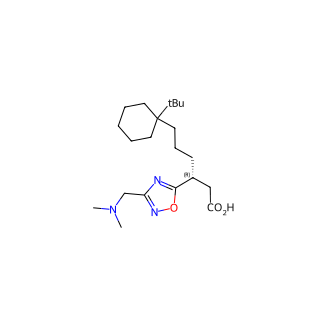 CN(C)Cc1noc([C@H](CCCC2(C(C)(C)C)CCCCC2)CC(=O)O)n1